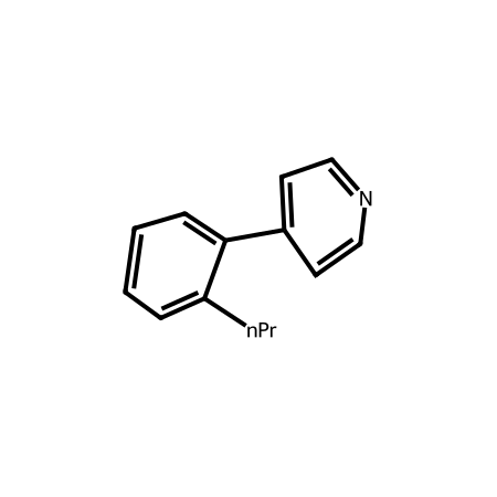 [CH2]CCc1ccccc1-c1ccncc1